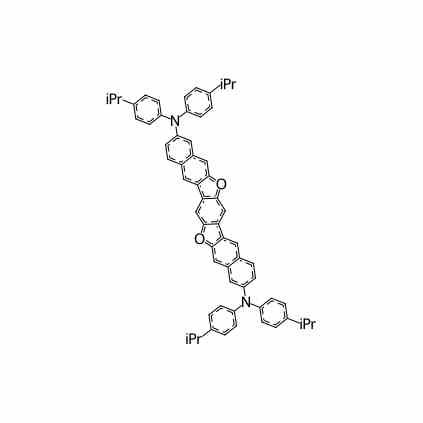 CC(C)c1ccc(N(c2ccc(C(C)C)cc2)c2ccc3cc4c(cc3c2)oc2cc3c(cc24)oc2cc4cc(N(c5ccc(C(C)C)cc5)c5ccc(C(C)C)cc5)ccc4cc23)cc1